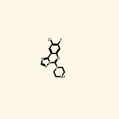 Fc1cc2nc(N3CCNCC3)n3ncnc3c2cc1Cl